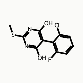 CSc1nc(O)c(-c2c(F)cccc2Cl)c(O)n1